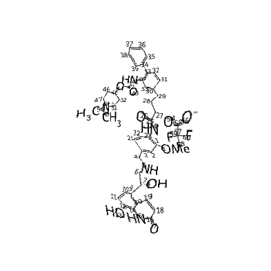 COc1cc(CNC[C@H](O)c2ccc(O)c3[nH]c(=O)ccc23)ccc1NC(=O)CCCc1ccc(-c2ccccc2)c(NC(=O)OC2CC[N+](C)(C)CC2)c1.O=C([O-])C(F)(F)F